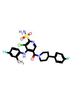 Cc1cc(F)ccc1Nc1c(C(=O)N2CCC(c3ccc(F)cc3)CC2)cnc(S(N)(=O)=O)c1Cl